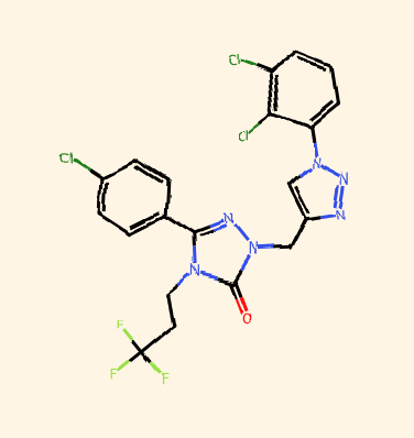 O=c1n(Cc2cn(-c3cccc(Cl)c3Cl)nn2)nc(-c2ccc(Cl)cc2)n1CCC(F)(F)F